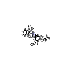 COc1cc(/C=C/S(=O)(=O)Nc2ccccc2C(=O)O)ccc1OC(F)(F)C(F)F